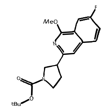 COc1nc(C2CCN(C(=O)OC(C)(C)C)C2)cc2ccc(F)cc12